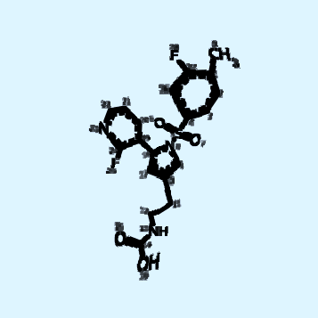 Cc1ccc(S(=O)(=O)n2cc(CCNC(=O)O)cc2-c2cccnc2F)cc1F